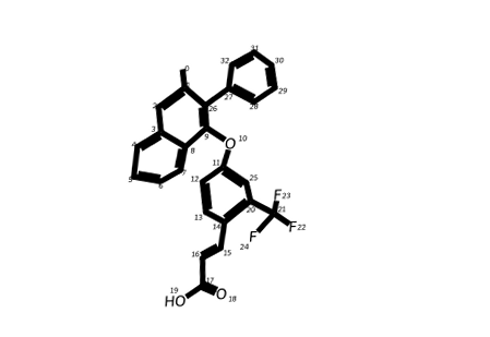 Cc1cc2ccccc2c(Oc2ccc(C=CC(=O)O)c(C(F)(F)F)c2)c1-c1ccccc1